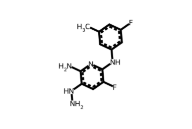 Cc1cc(F)cc(Nc2nc(N)c(NN)cc2F)c1